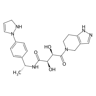 C[C@@H](NC(=O)[C@H](O)[C@@H](O)C(=O)N1CCc2[nH]ncc2C1)c1ccc(N2C=CCN2)cc1